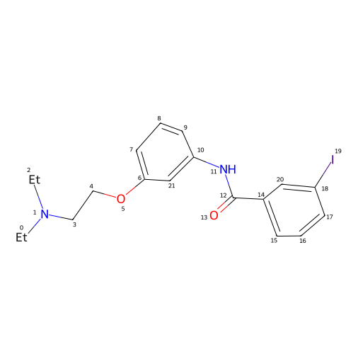 CCN(CC)CCOc1cccc(NC(=O)c2cccc(I)c2)c1